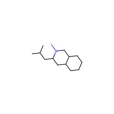 CC(C)CC1CC2CCCCC2CN1I